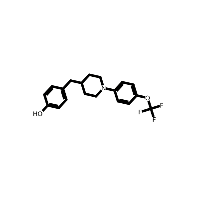 Oc1ccc(CC2CCN(c3ccc(OC(F)(F)F)cc3)CC2)cc1